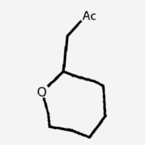 CC(=O)CC1CCCCO1